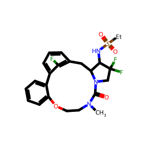 CCS(=O)(=O)NC1C2Cc3cccc(c3F)-c3ccccc3OCCN(C)C(=O)N2CC1(F)F